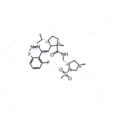 C/N=N\C(=C/C1[C@H](C(C)C)CC[C@]1(C)C(=O)NC[C@@H]1C[C@@H](C)CN1S(C)(=O)=O)c1c(F)cccc1F